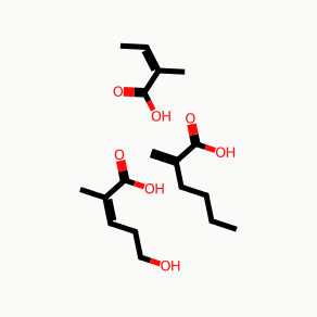 C=C(CCCC)C(=O)O.CC(=CCCO)C(=O)O.CC=C(C)C(=O)O